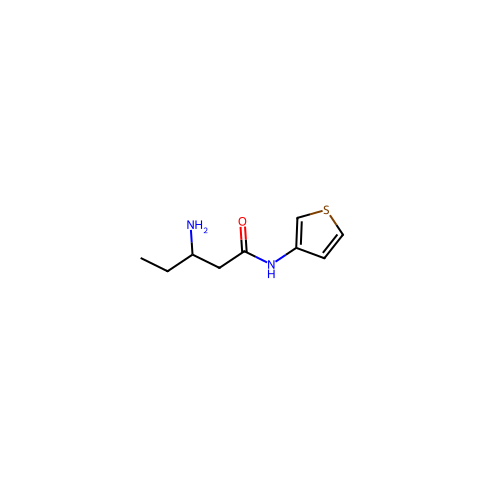 CCC(N)CC(=O)Nc1ccsc1